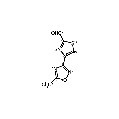 O=Cc1nc(-c2noc(C(Cl)(Cl)Cl)n2)cs1